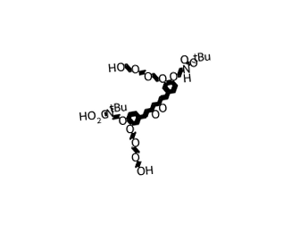 CC(C)(C)OC(=O)NCCOc1ccc(/C=C/C(=O)CC(=O)/C=C/c2ccc(OCCN(C(=O)O)C(C)(C)C)c(OCCOCCOCCO)c2)cc1OCCOCCOCCO